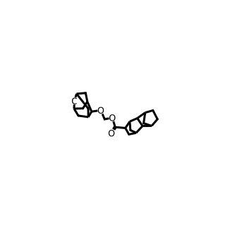 O=C(OCOC1C2CC3CC(C2)CC1C3)C1CC2CC1C1C3CCC(C3)C21